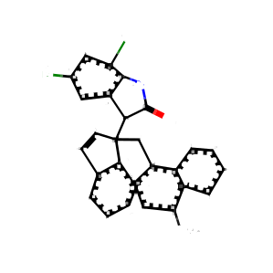 COc1ccc(CC2(C3C(=O)Nc4c(Br)cc(Br)cc43)C=Cc3ccccc32)c2ccccc12